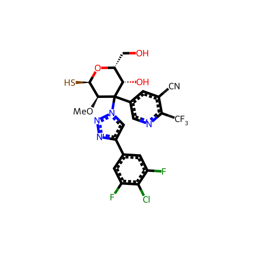 CO[C@H]1[C@@H](S)O[C@H](CO)[C@H](O)C1(c1cnc(C(F)(F)F)c(C#N)c1)n1cc(-c2cc(F)c(Cl)c(F)c2)nn1